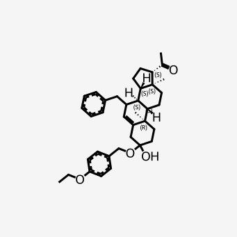 CCOc1ccc(COC2(O)CC[C@@]3(C)C(=CC(Cc4ccccc4)[C@H]4[C@@H]5CC[C@H](C(C)=O)[C@@]5(C)CC[C@@H]43)C2)cc1